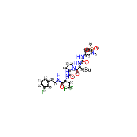 CN(C[C@@H](NC(=O)N[C@H](C(=O)N1CCC[C@H]1C(=O)N[C@@H](CC(F)F)C(=O)NCCc1cccc(F)c1)C(C)(C)C)C(C)(C)C)S(C)(=O)=O